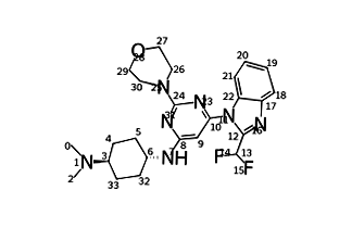 CN(C)[C@H]1CC[C@H](Nc2cc(-n3c(C(F)F)nc4ccccc43)nc(N3CCOCC3)n2)CC1